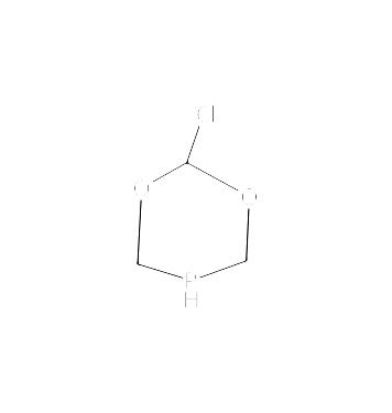 ClC1OCPCO1